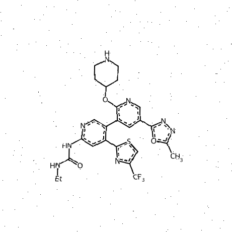 CCNC(=O)Nc1cc(-c2nc(C(F)(F)F)cs2)c(-c2cc(-c3nnc(C)o3)cnc2OC2CCNCC2)cn1